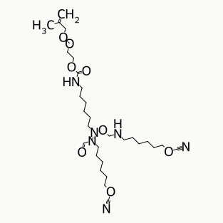 C=C(C)COOCCOC(=O)NCCCCCCN(OCNCCCCCCOC#N)N(C=O)CCCCCCOC#N